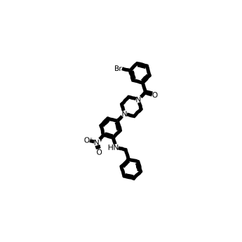 O=C(c1cccc(Br)c1)N1CCN(c2ccc([N+](=O)[O-])c(NCc3ccccc3)c2)CC1